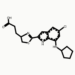 O=C(O)CCC1CSC(c2cc3cc(Cl)cc(NC4CCCC4)c3[nH]2)=N1